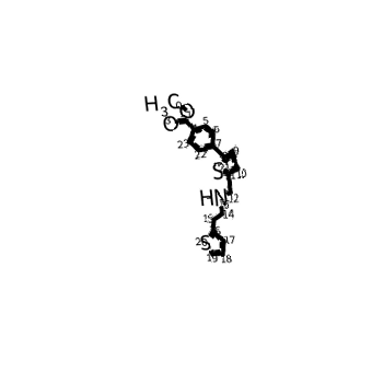 COC(=O)c1ccc(-c2ccc(CNCCc3cccs3)s2)cc1